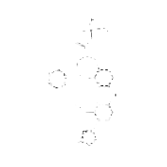 COc1nc(Nc2ccc3c(n2)O[C@H](c2ccccc2)CN(C(=O)OC(C)(C)C)C3)ccc1-c1cnn(C)c1